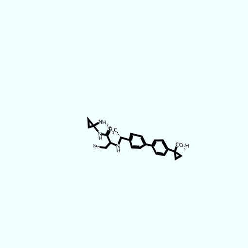 CC(C)CC(N[C@@H](c1ccc(-c2ccc(C3(C(=O)O)CC3)cc2)cc1)C(F)(F)F)C(=O)NC1(N)CC1